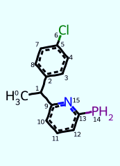 CC(c1ccc(Cl)cc1)c1cccc(P)n1